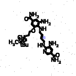 CC(C)(C)[Si](C)(C)OCCCOc1cc(C(N)=O)cc(N)c1NC/C=C/CNc1ncc(C(N)=O)cc1N